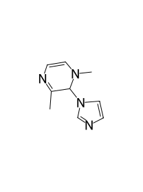 CC1=NC=CN(C)C1n1ccnc1